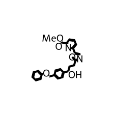 COC(=O)c1cccc(-c2cnc(CCC(O)c3ccc(COc4ccccc4)cc3)o2)n1